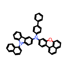 c1ccc(-c2ccc(N(c3ccc4c(c3)Oc3cccc5cccc-4c35)c3ccc4c(c3)c3ccccc3n4-c3cccc4ccccc34)cc2)cc1